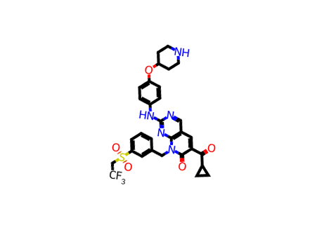 O=C(c1cc2cnc(Nc3ccc(OC4CCNCC4)cc3)nc2n(Cc2cccc(S(=O)(=O)CC(F)(F)F)c2)c1=O)C1CC1